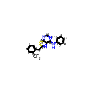 FC(F)(F)c1ccccc1Cc1nc2c(Nc3ccccc3)ncnc2s1